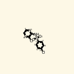 O=S(=O)(Nc1nccnc1Cl)c1ccc(Cl)cc1